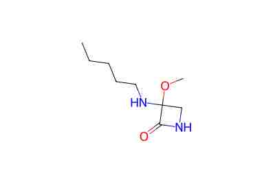 CCCCCNC1(OC)CNC1=O